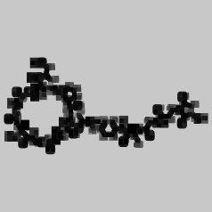 CC[C@H](C)[C@@H]1NC(=O)CNC(=O)CNN[C@H](C[C@@H](O)CO)NC2CCCN2C(=O)[C@H](CC(=O)NCc2ccc(NC(=O)[C@H](C)NC(=O)CNC(=O)CCN3C(=O)CC(S)C3=O)cc2)NC(=O)CNC(=O)CNC1=O